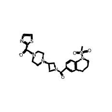 CS(=O)(=O)N1CCCc2cc(C(=O)N3CC(N4CCN(C(=O)c5nccs5)CC4)C3)ccc21